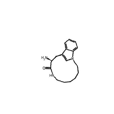 N[C@H]1Cc2cn(c3ccccc23)CCCCCCNC1=O